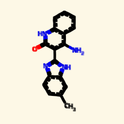 Cc1ccc2nc(-c3c(N)c4ccccc4[nH]c3=O)[nH]c2c1